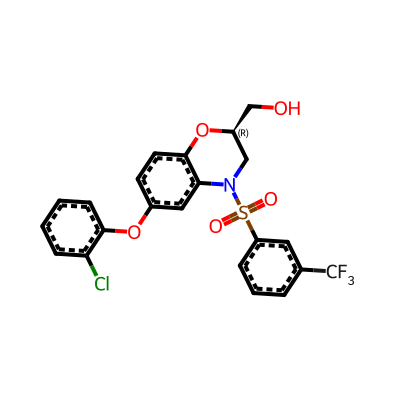 O=S(=O)(c1cccc(C(F)(F)F)c1)N1C[C@H](CO)Oc2ccc(Oc3ccccc3Cl)cc21